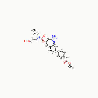 CCCN(CCCO)C(=O)OC1=Cc2ccc(-c3ccc(CC(=O)OC)cc3)cc2N=C(N)C1